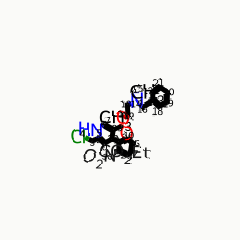 CCOC(=O)C1=C(CCl)NC(C)=C(C(=O)OCCN(C)Cc2ccccc2)C1c1ccccc1[N+](=O)[O-]